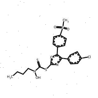 CCCCN(O)C(=S)Sc1nc(-c2ccc(Cl)cc2)c(-c2ccc(S(C)(=O)=O)cc2)o1